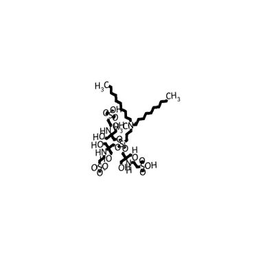 CCCCCCCCCC[N+](C)(CCCCCCCCCC)CCC[Si](OCC(CO)(CO)NCCS(=O)(=O)[O-])(OCC(CO)(CO)NCCS(=O)(=O)O)OCC(CO)(CO)NCCS(=O)(=O)O